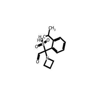 CC(C)c1ccccc1C(C=O)(N1CCC1)S(=O)(=O)O